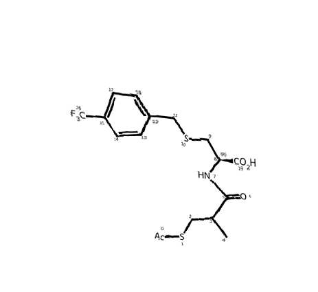 CC(=O)SCC(C)C(=O)N[C@@H](CSCc1ccc(C(F)(F)F)cc1)C(=O)O